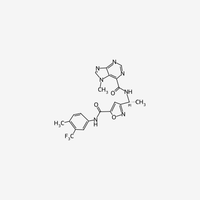 Cc1ccc(NC(=O)c2cc([C@@H](C)NC(=O)c3ncnc4ncn(C)c34)no2)cc1C(F)(F)F